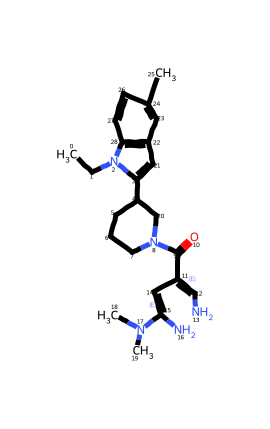 CCn1c(C2CCCN(C(=O)C(=C/N)/C=C(\N)N(C)C)C2)cc2cc(C)ccc21